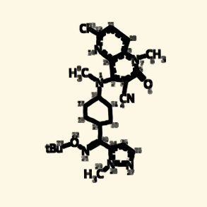 CN(c1c(C#N)c(=O)n(C)c2ccc(Cl)nc12)C1CCC(/C(=N\OC(C)(C)C)c2ccnn2C)CC1